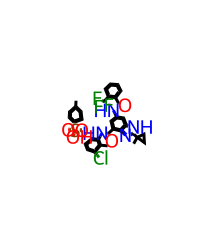 Cc1c(Cl)cccc1NC(=O)c1cc(NC(=O)c2ccccc2C(F)(F)F)cc2[nH]c(C3(C)CC3)nc12.Cc1ccc(S(=O)(=O)O)cc1